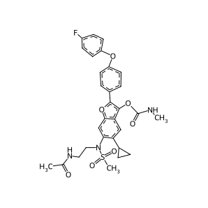 CNC(=O)Oc1c(-c2ccc(Oc3ccc(F)cc3)cc2)oc2cc(N(CCNC(C)=O)S(C)(=O)=O)c(C3CC3)cc12